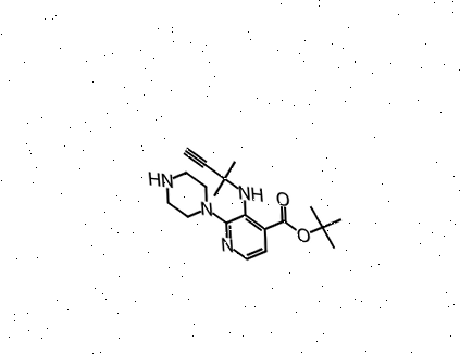 C#CC(C)(C)Nc1c(C(=O)OC(C)(C)C)ccnc1N1CCNCC1